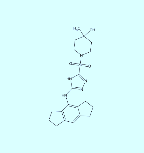 CC1(O)CCN(S(=O)(=O)c2nnc(Nc3c4c(cc5c3CCC5)CCC4)[nH]2)CC1